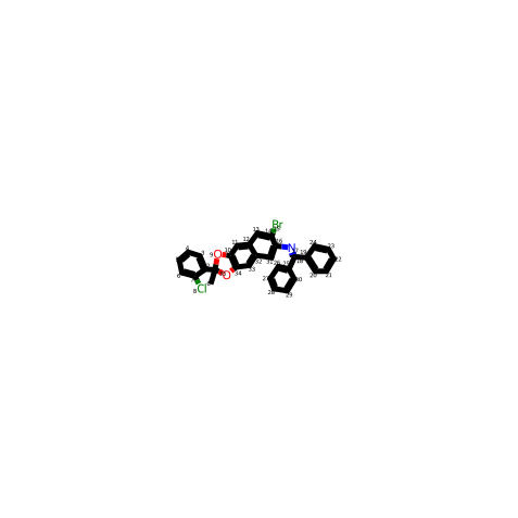 CC1(c2ccccc2Cl)Oc2cc3cc(Br)c(N=C(c4ccccc4)c4ccccc4)cc3cc2O1